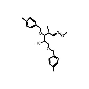 CON=C[C@H](F)[C@H](OCc1ccc(C)cc1)[C@H](O)COCc1ccc(C)cc1